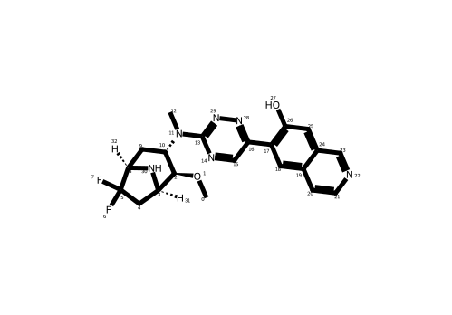 CO[C@H]1[C@H]2CC(F)(F)[C@@H](C[C@@H]1N(C)c1ncc(-c3cc4ccncc4cc3O)nn1)N2